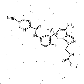 CC(=O)NCc1ncc2n1C[C@@](C)(c1cc(NC(=O)c3ccc(C#N)cn3)ccc1F)N=C2N